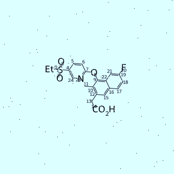 CCS(=O)(=O)c1ccc(Oc2c(C)c(CC(=O)O)cc3ccc(F)cc23)nc1